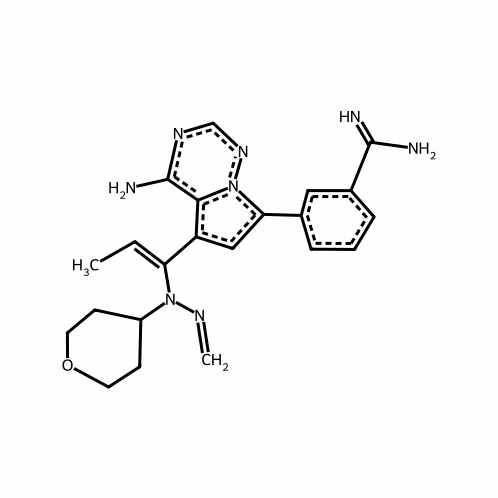 C=NN(/C(=C\C)c1cc(-c2cccc(C(=N)N)c2)n2ncnc(N)c12)C1CCOCC1